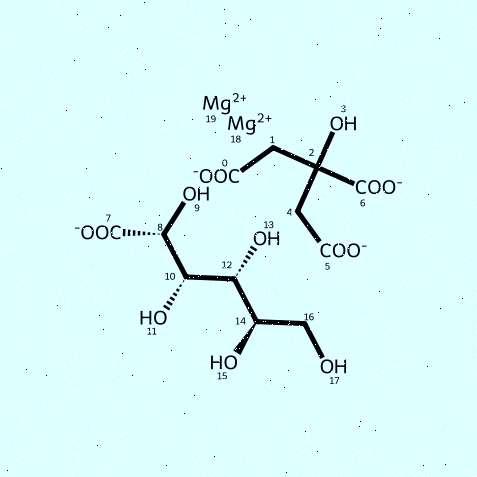 O=C([O-])CC(O)(CC(=O)[O-])C(=O)[O-].O=C([O-])[C@H](O)[C@@H](O)[C@H](O)[C@H](O)CO.[Mg+2].[Mg+2]